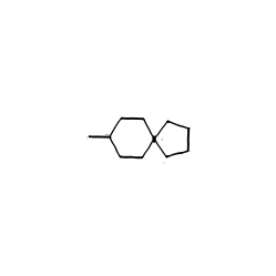 [CH2]C1CCC2(CCCC2)CC1